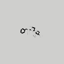 CCC1(C#N)CCN(c2ccnc(NCc3ccccc3)n2)C1=O